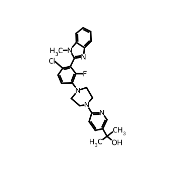 Cn1c(-c2c(Cl)ccc(N3CCN(c4ccc(C(C)(C)O)cn4)CC3)c2F)nc2ccccc21